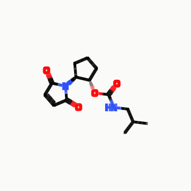 CC(C)CNC(=O)O[C@H]1CCC[C@@H]1N1C(=O)C=CC1=O